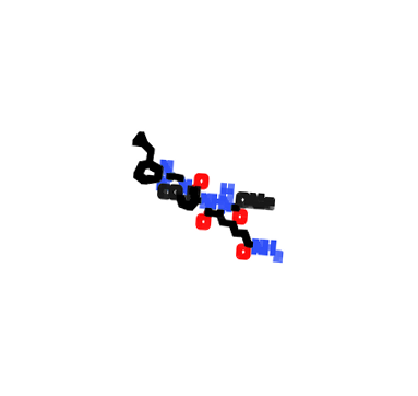 COC(=O)N[C@@H](CC/C=C/C(N)=O)C(=O)Nc1cccn(Cc2nc3c(CC4CC4)cccc3n2C(=O)O)c1=O